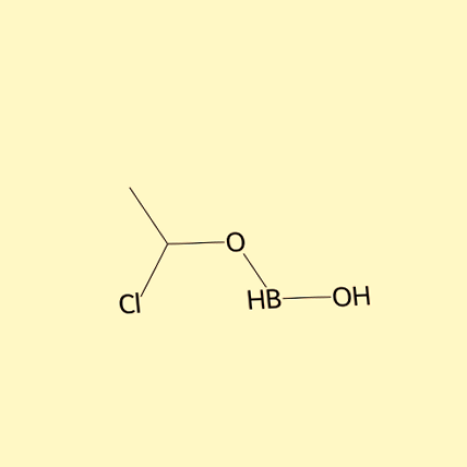 CC(Cl)OBO